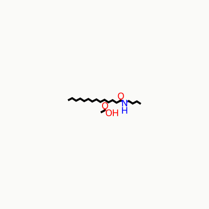 CC(=O)O.CCCCCCCCCCCCCC(=O)NCCCC